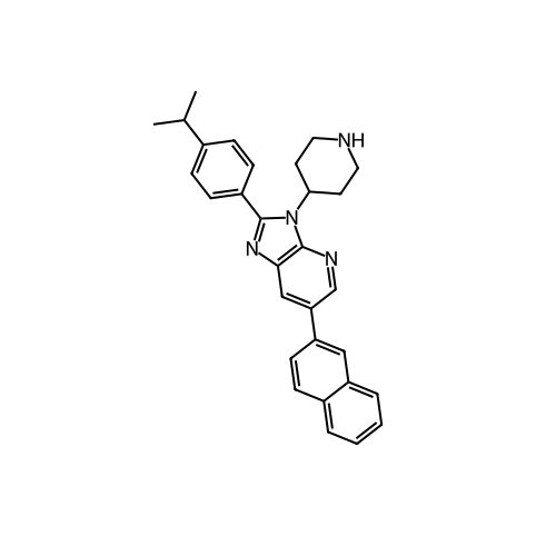 CC(C)c1ccc(-c2nc3cc(-c4ccc5ccccc5c4)cnc3n2C2CCNCC2)cc1